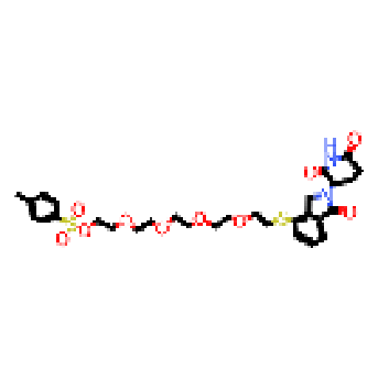 Cc1ccc(S(=O)(=O)OCCOCCOCCOCCOCCSc2cccc3c2CN(C2CCC(=O)NC2=O)C3=O)cc1